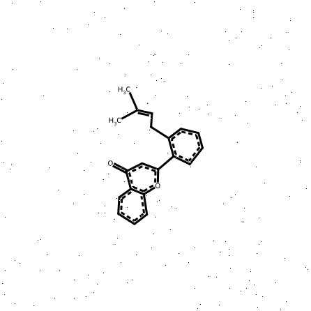 CC(C)=CCc1ccccc1-c1cc(=O)c2ccccc2o1